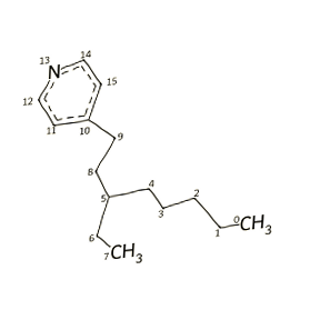 CCCCCC(CC)CCc1ccncc1